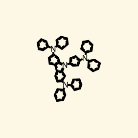 c1ccc(N(c2ccccc2)c2ccc(-n3c4cc(N(c5ccccc5)c5ccccc5)ccc4c4ccc(N(c5ccccc5)c5ccccc5)cc43)cc2)cc1